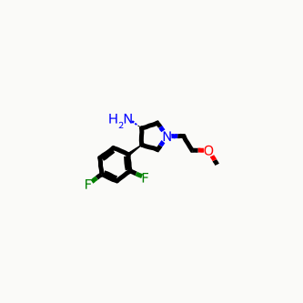 COCCN1C[C@@H](N)[C@H](c2ccc(F)cc2F)C1